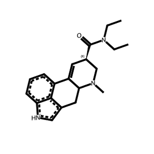 CCN(CC)C(=O)[C@@H]1C=C2c3cccc4[nH]cc(c34)CC2N(C)C1